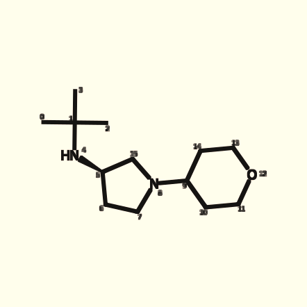 CC(C)(C)N[C@@H]1CCN(C2CCOCC2)C1